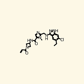 C=CC(=O)N1CC(NC(=O)c2cnc(CNc3n[nH]c4cc(Cl)c(CC)cc34)n2C)C1